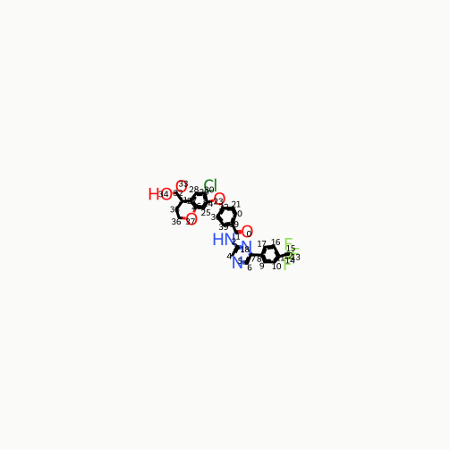 O=C(Nc1cncc(-c2ccc(C(F)(F)F)cc2)n1)c1ccc(Oc2cc3c(cc2Cl)C(C(=O)O)CCO3)cc1